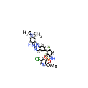 COc1ncc(Cl)cc1S(=O)(=O)Nc1ccc(F)c(-c2ccc3nc(N[C@H]4CC[C@H](N(C)C)CC4)ncc3c2)c1F